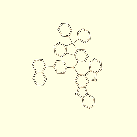 c1ccc(C2(c3ccccc3)c3ccccc3-c3c(N(c4ccc(-c5cccc6ccccc56)cc4)c4cc5oc6ccccc6c5c5oc6ccccc6c45)cccc32)cc1